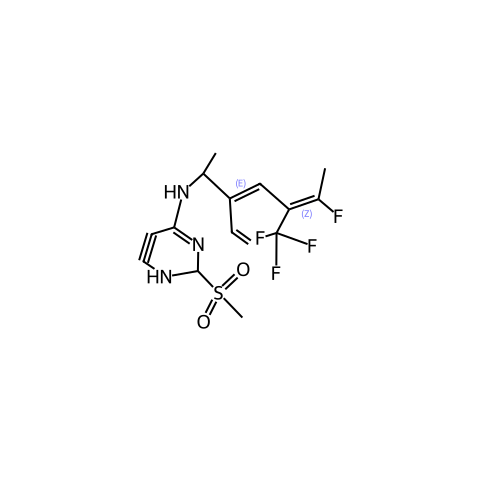 C=C/C(=C\C(=C(/C)F)C(F)(F)F)C(C)NC1=NC(S(C)(=O)=O)NC#C1